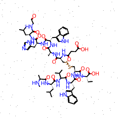 CC[C@H](NC(=O)[C@H](CSSC[C@H](NC(=O)CCC(=O)O)C(=O)N[C@@H](C)C(=O)N[C@@H](Cc1c[nH]c2ccccc12)C(=O)N[C@@H](Cc1cnc[nH]1)C(=O)N[C@@H](CC(C)C)C(=O)NCC=O)NC(=O)[C@H](Cc1c[nH]c2ccccc12)NC(=O)C(NC(=O)[C@H](CC(C)C)NC(=O)C(C)NC)C(C)C)C(=O)O